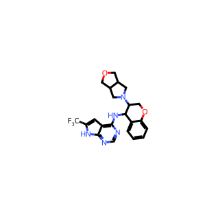 FC(F)(F)c1cc2c(NC3c4ccccc4OCC3N3CC4COCC4C3)ncnc2[nH]1